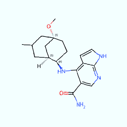 CO[C@@]12CC[C@@H](Nc3c(C(N)=O)cnc4[nH]ccc34)[C@@H](CC(C)C1)C2